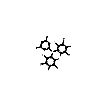 Cc1cc(C)cc(B(c2c(F)c(F)c(F)c(F)c2F)c2c(F)c(F)c(F)c(F)c2F)c1